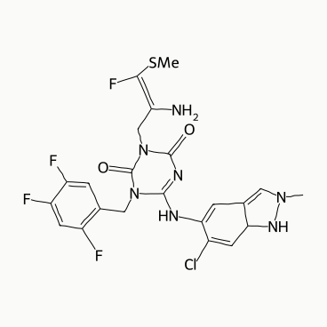 CS/C(F)=C(\N)Cn1c(=O)nc(NC2=CC3=CN(C)NC3C=C2Cl)n(Cc2cc(F)c(F)cc2F)c1=O